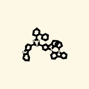 c1ccc(-c2ccccc2-c2nc(-c3ccc4oc5ccccc5c4c3)nc(-c3ccc4c(c3)c3ccccc3n4-c3cccc4c5ccccc5n(-c5ccccc5)c34)n2)cc1